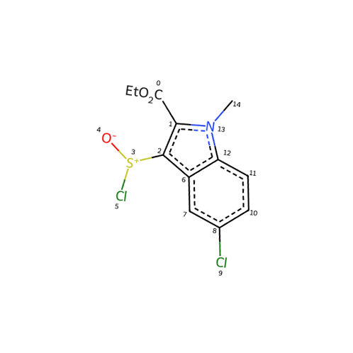 CCOC(=O)c1c([S+]([O-])Cl)c2cc(Cl)ccc2n1C